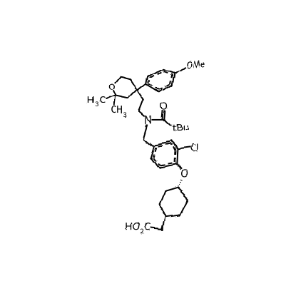 COc1ccc(C2(CCN(Cc3ccc(O[C@H]4CC[C@H](CC(=O)O)CC4)c(Cl)c3)C(=O)C(C)(C)C)CCOC(C)(C)C2)cc1